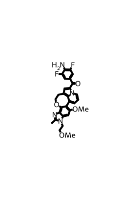 COCCn1c(C)nc2c3c(c(OC)cc21)-c1cccn2c(C(=O)c4cc(F)c(N)c(F)c4)cc(c12)CCO3